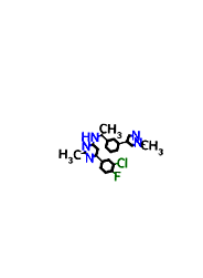 Cc1nc(NC(C)c2cccc(-c3cnn(C)c3)c2)cc(-c2ccc(F)c(Cl)c2)n1